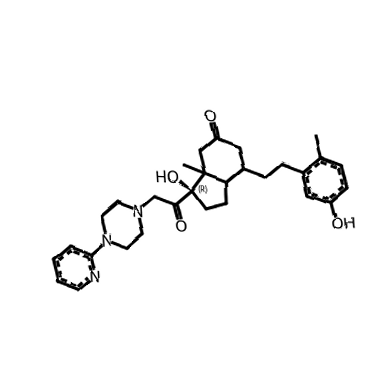 Cc1ccc(O)cc1CCC1CC(=O)CC2(C)C1CC[C@]2(O)C(=O)CN1CCN(c2ccccn2)CC1